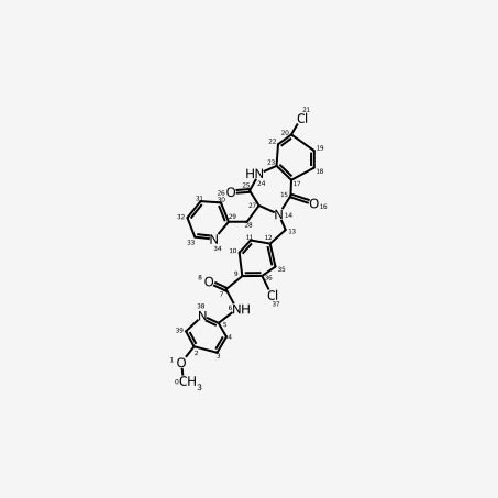 COc1ccc(NC(=O)c2ccc(CN3C(=O)c4ccc(Cl)cc4NC(=O)C3Cc3ccccn3)cc2Cl)nc1